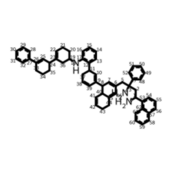 NC(CC(N)(CC1=CC(C2=CC(c3ccccc3NC3CCC=C(C4C=C(c5ccccc5)CCC4)C3)CC=C2)C2C=CCCC2=C1)c1ccccc1)c1cccc2ccccc12